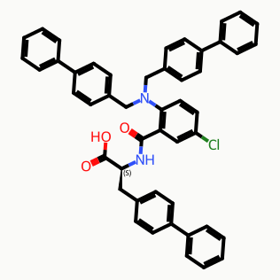 O=C(N[C@@H](Cc1ccc(-c2ccccc2)cc1)C(=O)O)c1cc(Cl)ccc1N(Cc1ccc(-c2ccccc2)cc1)Cc1ccc(-c2ccccc2)cc1